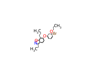 CCCOC1(Br)C=CC=C(Oc2ccc3c(CC)noc3c2CCC)C1